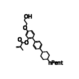 C=C(C)C(=O)Oc1cc(OCCO)ccc1-c1ccc(C2CCC(CCCCC)CC2)cc1